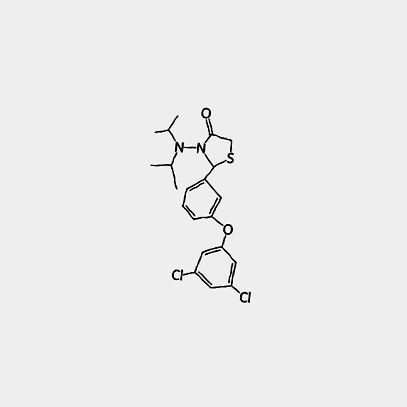 CC(C)N(C(C)C)N1C(=O)CSC1c1cccc(Oc2cc(Cl)cc(Cl)c2)c1